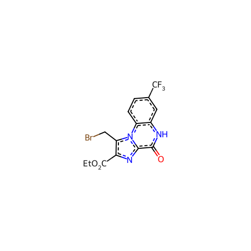 CCOC(=O)c1nc2c(=O)[nH]c3cc(C(F)(F)F)ccc3n2c1CBr